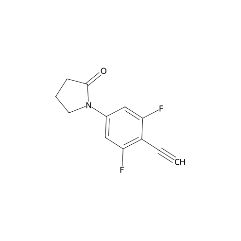 C#Cc1c(F)cc(N2CCCC2=O)cc1F